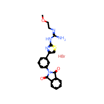 Br.COCC/N=C(/N)Nc1nc(-c2cccc(N3C(=O)c4ccccc4C3=O)c2)cs1